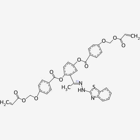 C=CC(=O)OCOc1ccc(C(=O)Oc2ccc(OC(=O)c3ccc(OCOC(=O)C=C)cc3)c(/C(C)=N/Nc3nc4ccccc4s3)c2)cc1